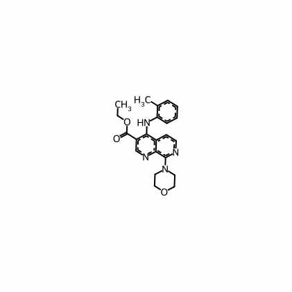 CCOC(=O)c1cnc2c(N3CCOCC3)nccc2c1Nc1ccccc1C